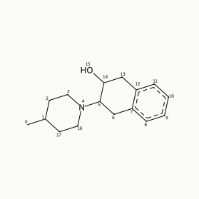 CC1CCN(C2Cc3ccccc3CC2O)CC1